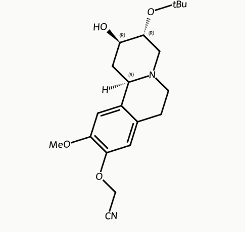 COc1cc2c(cc1OCC#N)CCN1C[C@@H](OC(C)(C)C)[C@H](O)C[C@H]21